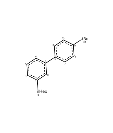 CCCCCCc1cc[c]c(-c2ccc(C(C)(C)C)cc2)c1